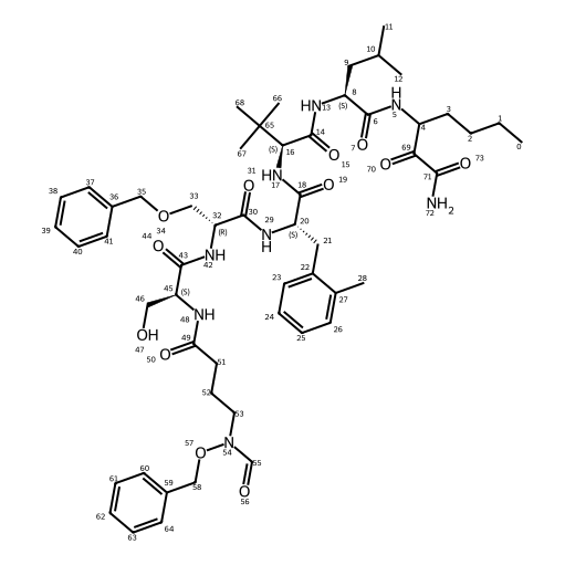 CCCCC(NC(=O)[C@H](CC(C)C)NC(=O)[C@@H](NC(=O)[C@H](Cc1ccccc1C)NC(=O)[C@@H](COCc1ccccc1)NC(=O)[C@H](CO)NC(=O)CCCN(C=O)OCc1ccccc1)C(C)(C)C)C(=O)C(N)=O